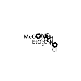 CCOC(=O)C(=NNc1cccc(Cl)c1)C1=C(C(=O)Nc2ccc(OC)cc2)OCC1